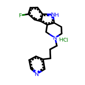 Cl.Fc1ccc2[nH]c3c(c2c1)CN(CCCc1cccnc1)CC3